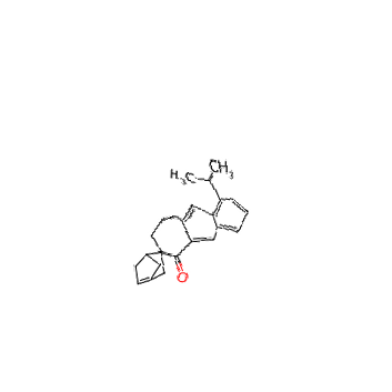 CC(C)c1cccc2cc3c(cc12)CCC1(CC2=CCC1C2)C3=O